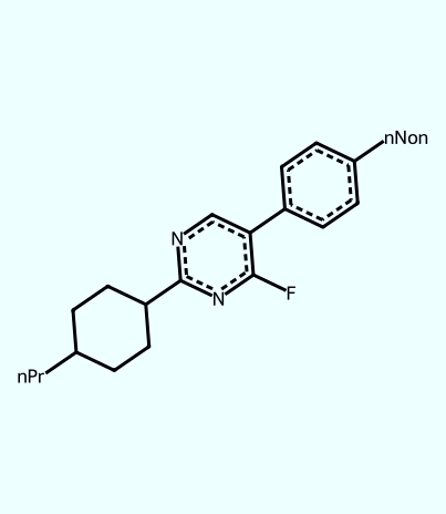 CCCCCCCCCc1ccc(-c2cnc(C3CCC(CCC)CC3)nc2F)cc1